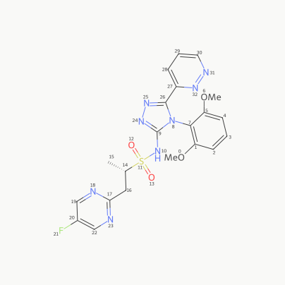 COc1cccc(OC)c1-n1c(NS(=O)(=O)[C@@H](C)Cc2ncc(F)cn2)nnc1-c1cccnn1